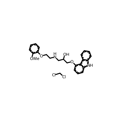 COc1ccccc1OCCNCC(O)COc1cccc2[nH]c3ccccc3c12.ClCCl